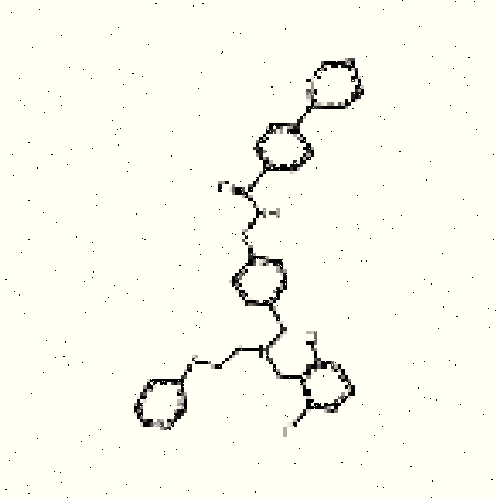 O=C(NSc1ccc(CN(CCSc2ccccc2)Cc2c(F)cccc2Cl)cc1)c1ccc(-c2ccccn2)cc1